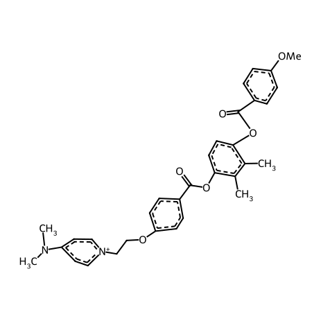 COc1ccc(C(=O)Oc2ccc(OC(=O)c3ccc(OCC[n+]4ccc(N(C)C)cc4)cc3)c(C)c2C)cc1